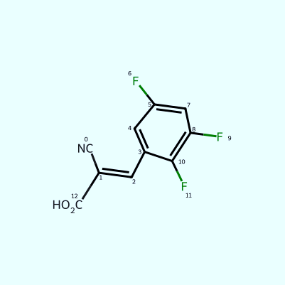 N#C/C(=C\c1cc(F)cc(F)c1F)C(=O)O